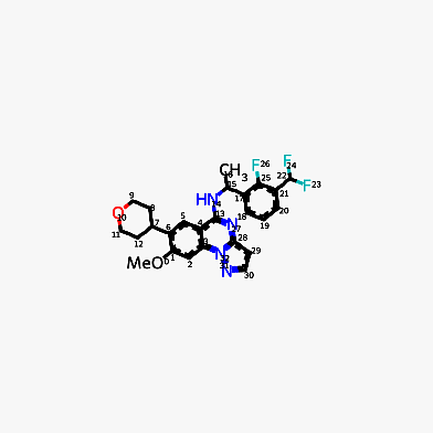 COc1cc2c(cc1C1CCOCC1)c(NC(C)c1cccc(C(F)F)c1F)nc1ccnn12